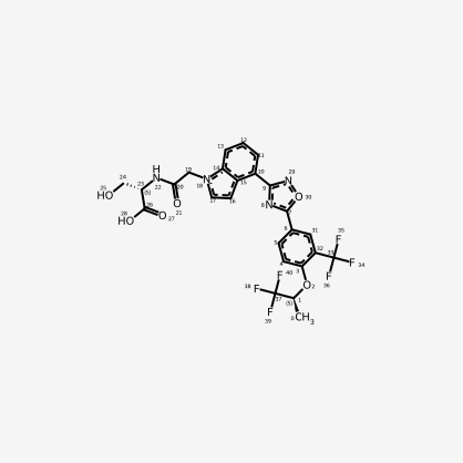 C[C@H](Oc1ccc(-c2nc(-c3cccc4c3ccn4CC(=O)N[C@@H](CO)C(=O)O)no2)cc1C(F)(F)F)C(F)(F)F